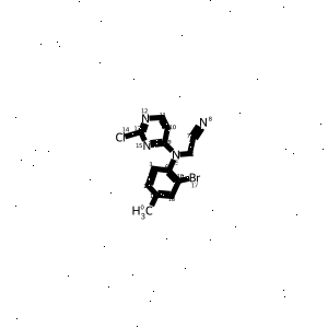 Cc1ccc(N(CC#N)c2ccnc(Cl)n2)c(Br)c1